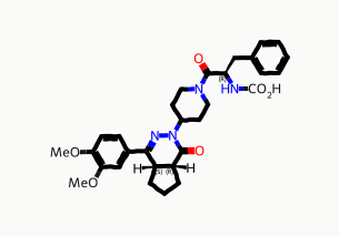 COc1ccc(C2=NN(C3CCN(C(=O)[C@@H](Cc4ccccc4)NC(=O)O)CC3)C(=O)[C@@H]3CCC[C@H]23)cc1OC